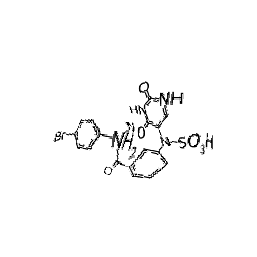 NN(C(=O)c1cccc(N(c2c[nH]c(=O)[nH]c2=O)S(=O)(=O)O)c1)c1ccc(Br)cc1